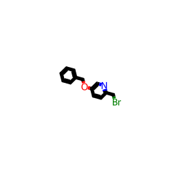 BrCc1ccc(OCc2ccccc2)cn1